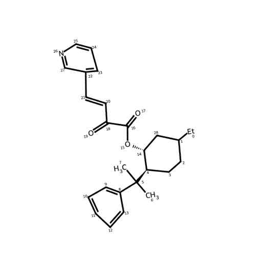 CCC1CC[C@@H](C(C)(C)c2ccccc2)[C@H](OC(=O)C(=O)/C=C/c2cccnc2)C1